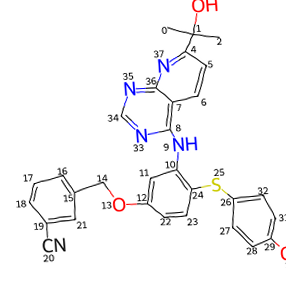 CC(C)(O)c1ccc2c(Nc3cc(OCc4cccc(C#N)c4)ccc3Sc3ccc(O)cc3)ncnc2n1